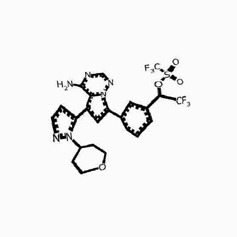 Nc1ncnn2c(-c3cccc(C(OS(=O)(=O)C(F)(F)F)C(F)(F)F)c3)cc(-c3ccnn3C3CCOCC3)c12